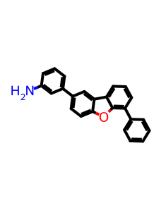 Nc1cccc(-c2ccc3oc4c(-c5ccccc5)cccc4c3c2)c1